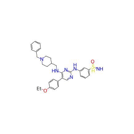 CCOc1ccc(-c2cnc(Nc3cccc([SH](=N)=O)c3)nc2NCC2CCN(Cc3ccccc3)CC2)cc1